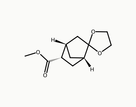 COC(=O)[C@H]1C[C@@H]2C[C@H]1CC21OCCO1